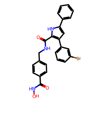 O=C(NO)c1ccc(CNC(=O)c2[nH]c(-c3ccccc3)cc2-c2cccc(Br)c2)cc1